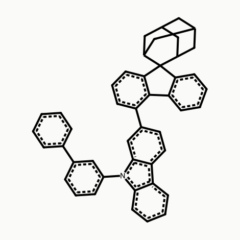 c1ccc(-c2cccc(-n3c4ccccc4c4ccc(-c5cccc6c5-c5ccccc5C65C6CC7CC(C6)CC5C7)cc43)c2)cc1